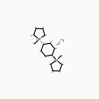 C[N+]1([C@H]2CC[C@H]([N+]3(C)CCCC3)CC2)CCCC1.[I-].[I-]